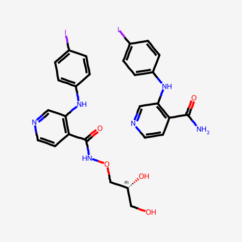 NC(=O)c1ccncc1Nc1ccc(I)cc1.O=C(NOC[C@H](O)CO)c1ccncc1Nc1ccc(I)cc1